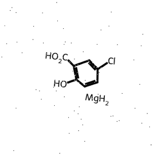 O=C(O)c1cc(Cl)ccc1O.[MgH2]